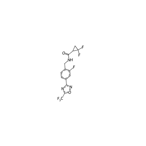 O=C(NCc1ccc(-c2noc(C(F)(F)F)n2)cc1F)C1CC1(F)F